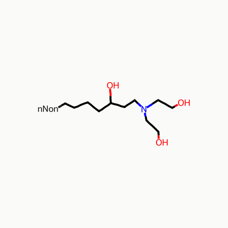 CCCCCCCCCCCCCC(O)CCN(CCO)CCO